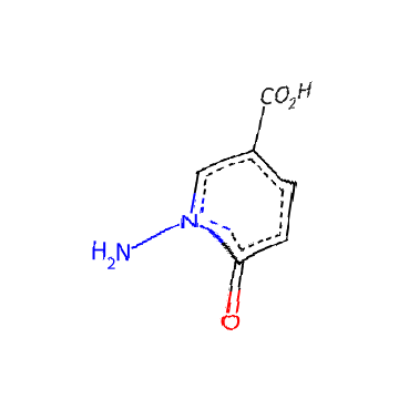 Nn1cc(C(=O)O)ccc1=O